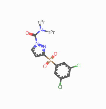 CCCN(CCC)C(=O)n1ccc(S(=O)(=O)c2cc(Cl)cc(Cl)c2)n1